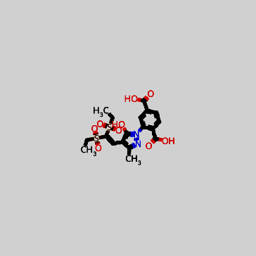 CCS(=O)(=O)C(=Cc1c(C)nn(-c2cc(C(=O)O)ccc2C(=O)O)c1O)S(=O)(=O)CC